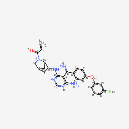 C=CC(=O)N1CC2CC(Nc3ncnc(N)c3C(=N)c3ccc(Oc4cccc(F)c4)cc3)C1C2